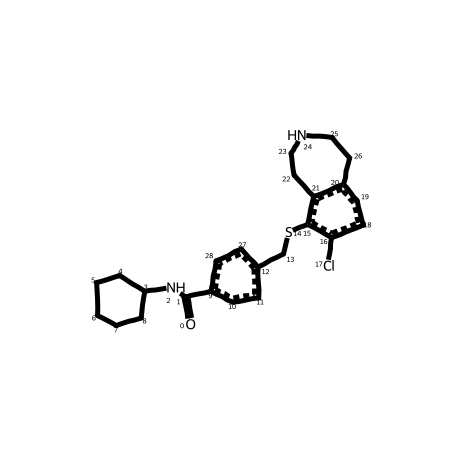 O=C(NC1CCCCC1)c1ccc(CSc2c(Cl)ccc3c2CCNCC3)cc1